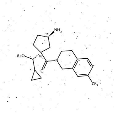 CC(=O)OC(C1CC1)[C@]1(C(=O)N2CCc3ccc(C(F)(F)F)cc3C2)CC[C@@H](N)C1